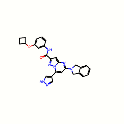 O=C(Nc1cccc(OC2CCC2)c1)c1cc2nc(N3Cc4ccccc4C3)cc(-c3cn[nH]c3)n2n1